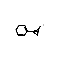 OC1=C(C2=CCCC=C2)C1